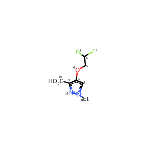 CCn1cc(OCC(F)F)c(C(=O)O)n1